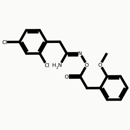 COc1ccccc1CC(=O)O/N=C(\N)Cc1ccc(Cl)cc1Cl